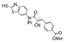 COC(=O)c1ccc(/C=C(\C#N)C(=O)N(c2ccc3nc(S)sc3c2)C(C)C)cc1